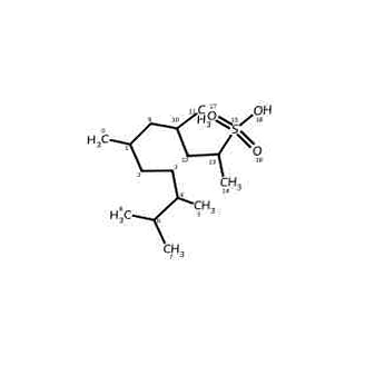 CC(CCC(C)C(C)C)CC(C)CC(C)S(=O)(=O)O